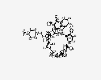 COC1CCN(CCO[C@H]2C3=C[C@@H](C3)[C@H](C)[C@@H](C)S(=O)(=O)NC(=O)c3ccc4c(c3)N(C[C@@H]3CC[C@H]32)C[C@@]2(CCCc3c2ccc(Cl)c3F)CO4)CC1